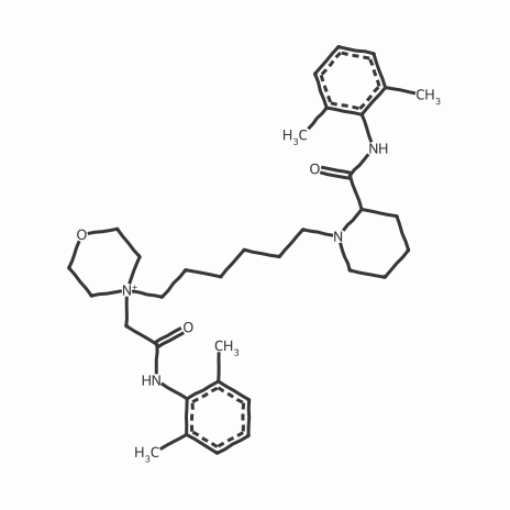 Cc1cccc(C)c1NC(=O)C[N+]1(CCCCCCN2CCCCC2C(=O)Nc2c(C)cccc2C)CCOCC1